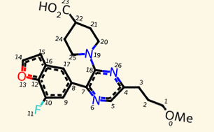 COCCCc1cnc(-c2cc(F)c3occc3c2)c(N2CCC(C(=O)O)CC2)n1